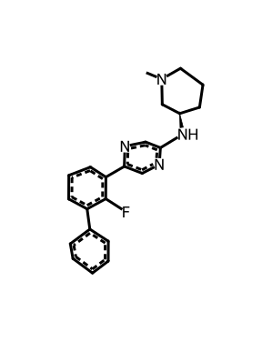 CN1CCC[C@@H](Nc2cnc(-c3cccc(-c4ccccc4)c3F)cn2)C1